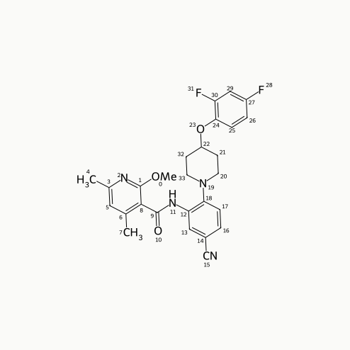 COc1nc(C)cc(C)c1C(=O)Nc1cc(C#N)ccc1N1CCC(Oc2ccc(F)cc2F)CC1